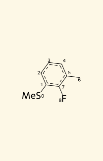 CSc1cccc(C)c1F